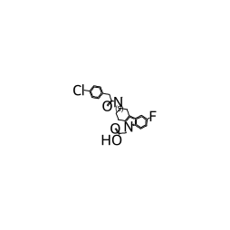 CN(C(=O)Cc1ccc(Cl)cc1)[C@H]1CCc2c(c3cc(F)ccc3n2CC(=O)O)C1